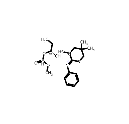 CC1(C)CS/C(=N\c2ccccc2)N(S)C1.CC[C@H](C)O[PH](=O)OC